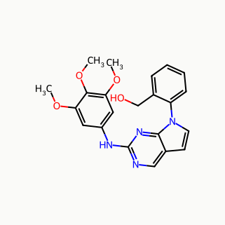 COc1cc(Nc2ncc3ccn(-c4ccccc4CO)c3n2)cc(OC)c1OC